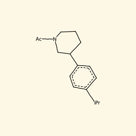 CC(=O)N1CCCC(c2ccc(C(C)C)cc2)C1